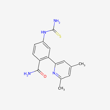 Cc1cc(C)nc(-c2cc(NC(N)=S)ccc2C(N)=O)c1